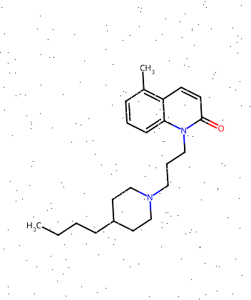 CCCCC1CCN(CCCn2c(=O)ccc3c(C)cccc32)CC1